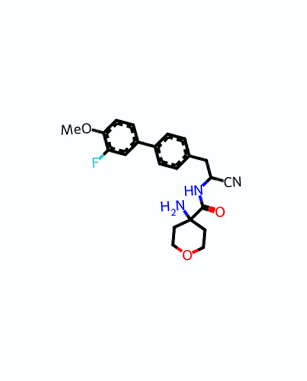 COc1ccc(-c2ccc(CC(C#N)NC(=O)C3(N)CCOCC3)cc2)cc1F